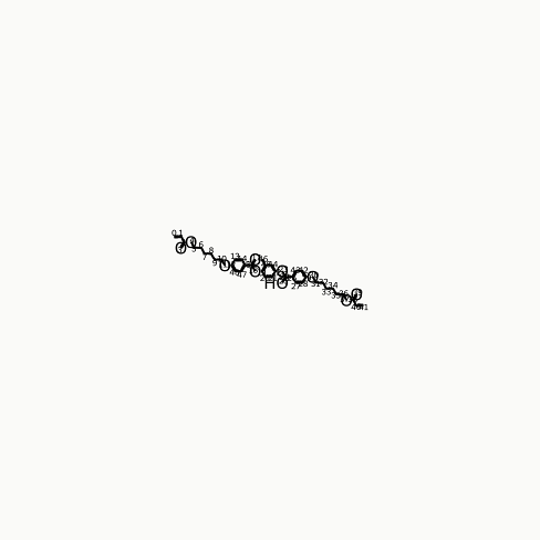 C=CC(=O)OCCCCCCOc1ccc(C(=O)Oc2ccc(OC(O)c3ccc(OCCCCCCOC(=O)C=C)cc3)cc2C)cc1